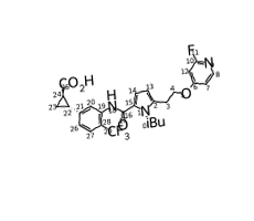 CC[C@H](C)n1c(CCOc2ccnc(F)c2)ccc1C(=O)Nc1cc([C@@H]2C[C@H]2C(=O)O)ccc1C(F)(F)F